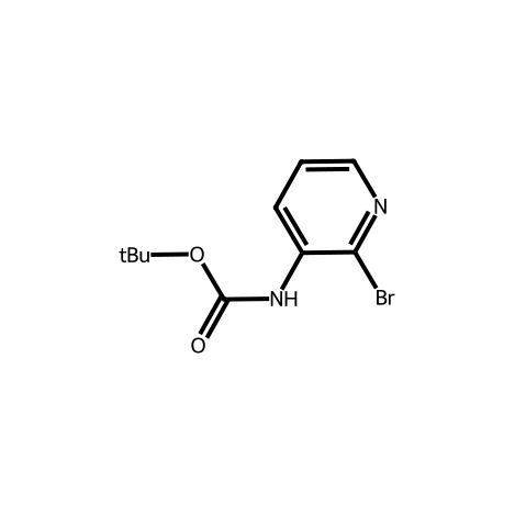 CC(C)(C)OC(=O)Nc1cccnc1Br